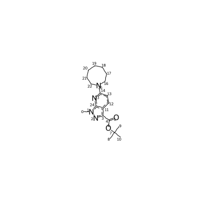 Cn1nc(C(=O)OC(C)(C)C)c2ccc(N3CCCCCCC3)nc21